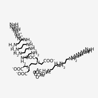 CC(=O)[O-].CC(=O)[O-].CC(=O)[O-].CC(=O)[O-].NCCN.NCCN.NCCN.NCCN.NCCN.NCCN.O=C([O-])CN(CCN(CC(=O)[O-])CC(=O)[O-])CC(=O)[O-].[Na+].[Na+].[Na+].[Na+].[Na+].[Na+].[Na+].[Na+].[NaH].[NaH].[NaH].[NaH].[NaH].[NaH]